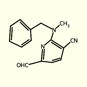 CN(Cc1ccccc1)c1nc(C=O)ccc1C#N